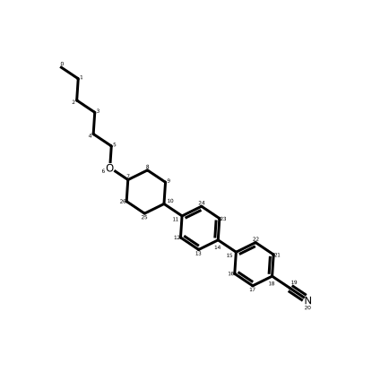 CCCCCCOC1CCC(c2ccc(-c3ccc(C#N)cc3)cc2)CC1